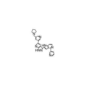 c1cncc(-c2nccc3[nH]c(-c4n[nH]c5ncc(-c6cncc(CN7CCCC7)c6)cc45)cc23)c1